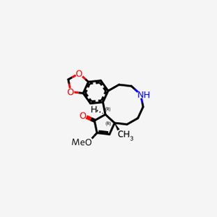 COC1=C[C@@]2(C)CCCNCCc3cc4c(cc3[C@@H]2C1=O)OCO4